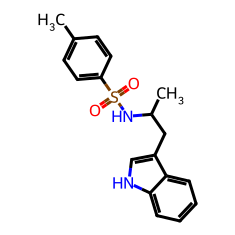 Cc1ccc(S(=O)(=O)NC(C)Cc2c[nH]c3ccccc23)cc1